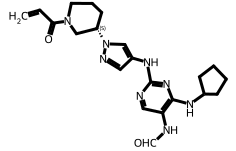 C=CC(=O)N1CCC[C@H](n2cc(Nc3ncc(NC=O)c(NC4CCCC4)n3)cn2)C1